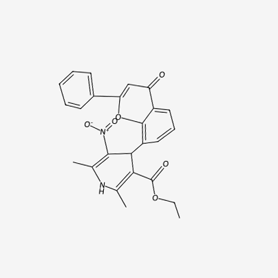 CCOC(=O)C1=C(C)NC(C)=C([N+](=O)[O-])C1c1cccc2c(=O)cc(-c3ccccc3)oc12